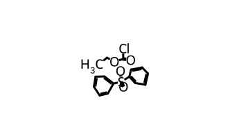 CCOC(=O)Cl.O=S(=O)(c1ccccc1)c1ccccc1